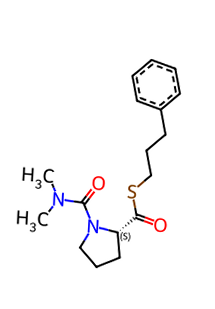 CN(C)C(=O)N1CCC[C@H]1C(=O)SCCCc1ccccc1